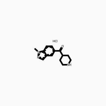 Cl.Cn1ncc2cc(C(=O)C3CCNCC3)ccc21